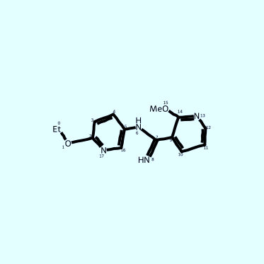 CCOc1ccc(NC(=N)c2cccnc2OC)cn1